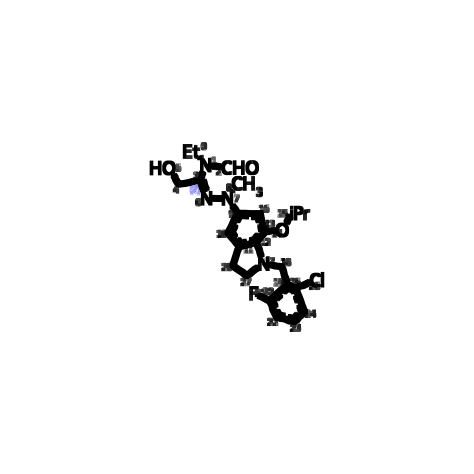 CCN(C=O)/C(CO)=N\N(C)c1cc2c(c(OC(C)C)c1)N(Cc1c(F)cccc1Cl)CC2